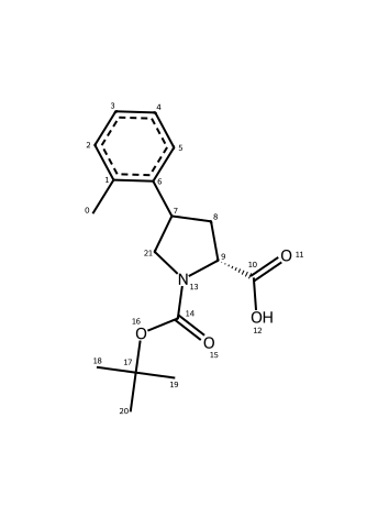 Cc1ccccc1C1C[C@H](C(=O)O)N(C(=O)OC(C)(C)C)C1